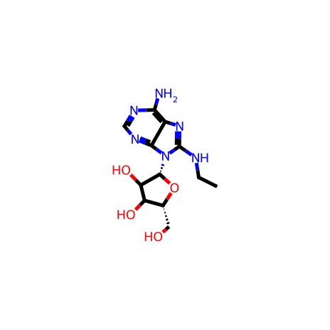 CCNc1nc2c(N)ncnc2n1[C@@H]1O[C@H](CO)C(O)C1O